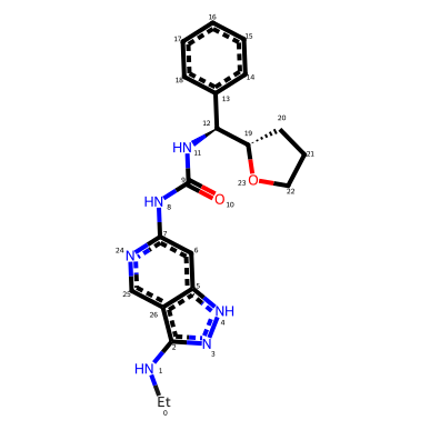 CCNc1n[nH]c2cc(NC(=O)N[C@@H](c3ccccc3)[C@@H]3CCCO3)ncc12